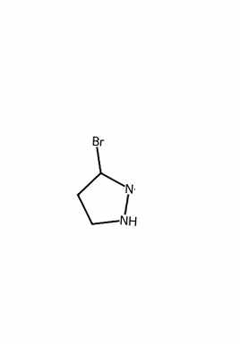 BrC1CCN[N]1